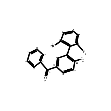 N#Cc1cccc(F)c1-c1cc(C(=O)c2ccccc2)ccc1Cl